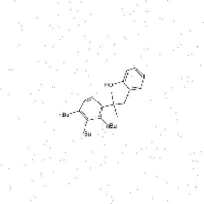 CCCCc1ccc(C(C)(C)Cc2ccccc2O)c(CCCC)c1CCCC